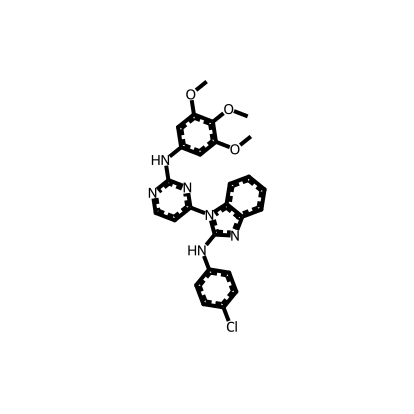 COc1cc(Nc2nccc(-n3c(Nc4ccc(Cl)cc4)nc4ccccc43)n2)cc(OC)c1OC